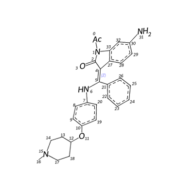 CC(=O)N1C(=O)/C(=C(\Nc2ccc(OC3CCN(C)CC3)cc2)c2ccccc2)c2ccc(N)cc21